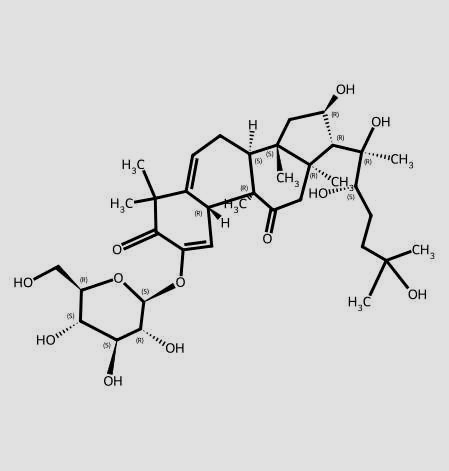 CC(C)(O)CC[C@H](O)[C@](C)(O)[C@H]1[C@H](O)C[C@@]2(C)[C@@H]3CC=C4[C@@H](C=C(O[C@@H]5O[C@H](CO)[C@@H](O)[C@H](O)[C@H]5O)C(=O)C4(C)C)[C@]3(C)C(=O)C[C@]12C